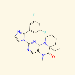 CC[C@@]12CCCCN1c1nc(-n3ccnc3-c3cc(F)cc(F)c3)ncc1N(C)C2=O